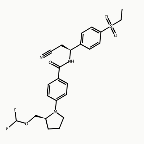 CCS(=O)(=O)c1ccc([C@H](CC#N)NC(=O)c2ccc(N3CCC[C@H]3COC(F)F)cc2)cc1